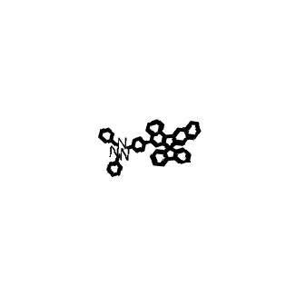 c1ccc(-c2nc(-c3ccccc3)nc(-c3ccc(-c4cc5c(c6ccccc46)-c4cc6ccccc6cc4C54c5ccccc5-c5ccccc54)cc3)n2)cc1